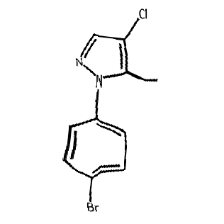 Cc1c(Cl)cnn1-c1ccc(Br)cc1